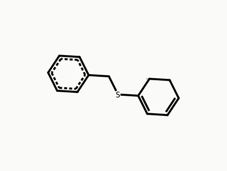 [CH]1CC=CC=C1SCc1ccccc1